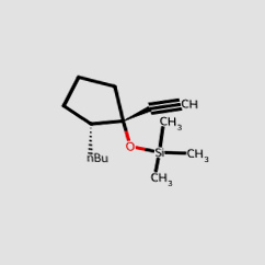 C#C[C@]1(O[Si](C)(C)C)CCC[C@H]1CCCC